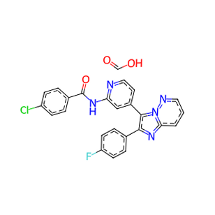 O=C(Nc1cc(-c2c(-c3ccc(F)cc3)nc3cccnn23)ccn1)c1ccc(Cl)cc1.O=CO